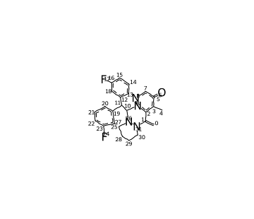 C=C1c2c(C)c(=O)cnn2C(C(c2cccc(F)c2)c2cccc(F)c2)N2CCCCN12